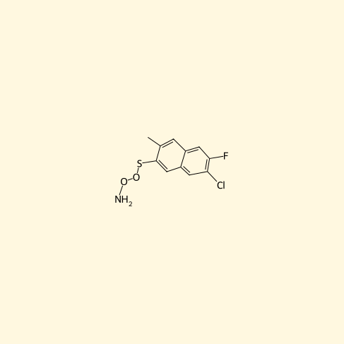 Cc1cc2cc(F)c(Cl)cc2cc1SOON